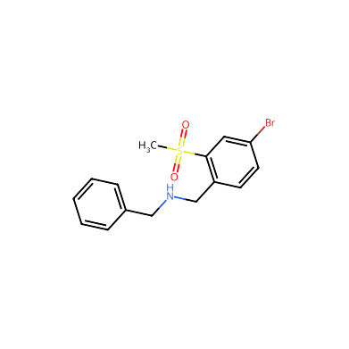 CS(=O)(=O)c1cc(Br)ccc1CNCc1ccccc1